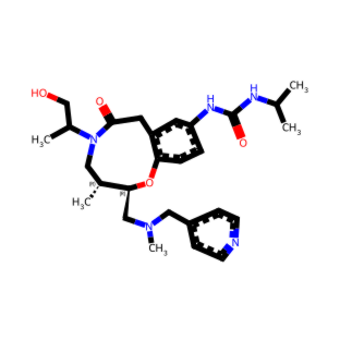 CC(C)NC(=O)Nc1ccc2c(c1)CC(=O)N(C(C)CO)C[C@@H](C)[C@H](CN(C)Cc1ccncc1)O2